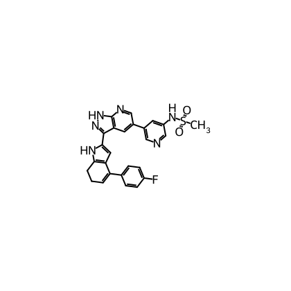 CS(=O)(=O)Nc1cncc(-c2cnc3[nH]nc(-c4cc5c([nH]4)CCC=C5c4ccc(F)cc4)c3c2)c1